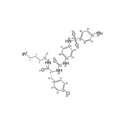 CC(C)CCCC(C)NC(=O)[C@@H](Cc1ccc(Cl)cc1)NC(=O)Nc1ccc(NS(=O)(=O)c2ccc(C(C)(C)C)cc2)cc1